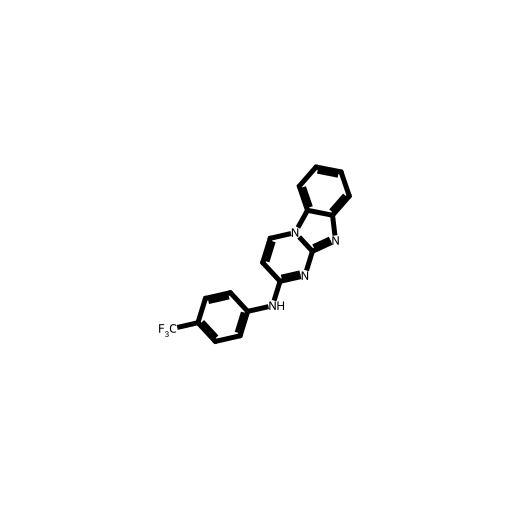 FC(F)(F)c1ccc(Nc2ccn3c(n2)nc2ccccc23)cc1